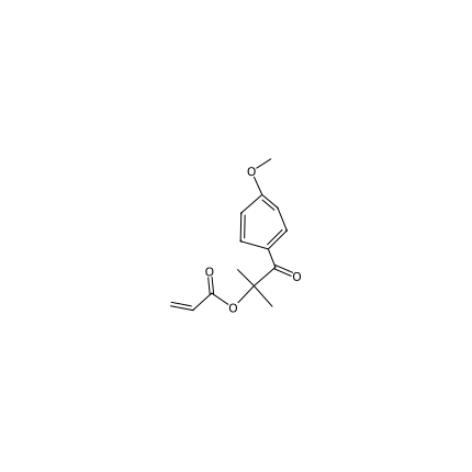 C=CC(=O)OC(C)(C)C(=O)c1ccc(OC)cc1